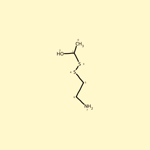 CC(O)SSCCN